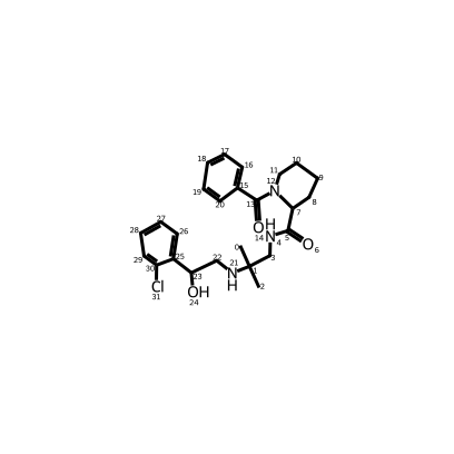 CC(C)(CNC(=O)C1CCCCN1C(=O)c1ccccc1)NCC(O)c1ccccc1Cl